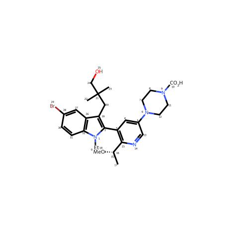 CCn1c(-c2cc(N3CCN(C(=O)O)CC3)cnc2[C@H](C)OC)c(CC(C)(C)CO)c2cc(Br)ccc21